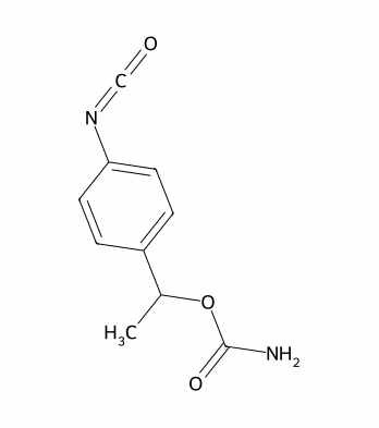 CC(OC(N)=O)c1ccc(N=C=O)cc1